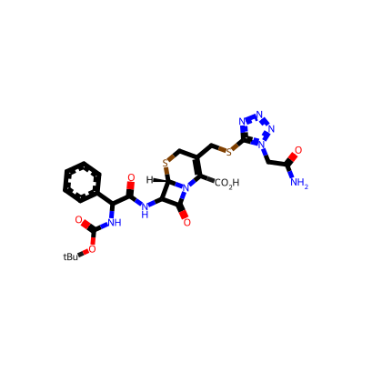 CC(C)(C)OC(=O)NC(C(=O)NC1C(=O)N2C(C(=O)O)=C(CSc3nnnn3CC(N)=O)CS[C@@H]12)c1ccccc1